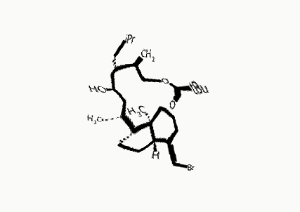 C=C(COC(=O)C(C)(C)C)[C@@H](CC(C)C)[C@H](O)C[C@@H](C)[C@H]1CC[C@H]2/C(=C/Br)CCC[C@]12C